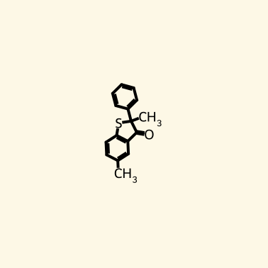 Cc1ccc2c(c1)C(=O)C(C)(c1ccccc1)S2